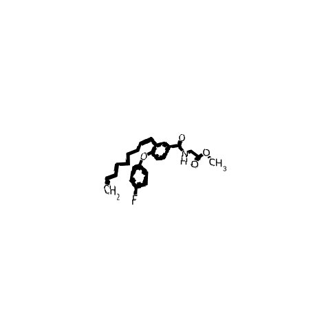 C=CCCCCC/C=C\c1cc(C(=O)NCC(=O)OC)ccc1Oc1ccc(F)cc1